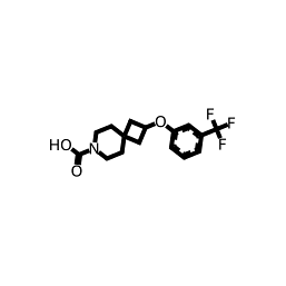 O=C(O)N1CCC2(CC1)CC(Oc1cccc(C(F)(F)F)c1)C2